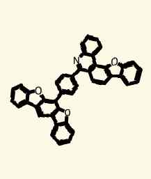 c1ccc2c(c1)nc(-c1ccc(-c3c4oc5ccccc5c4cc4c3oc3ccccc34)cc1)c1ccc3c4ccccc4oc3c12